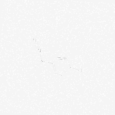 N#[N+]C(=O)c1ccc(Cl)cc1